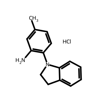 Cc1ccc(N2CCc3ccccc32)c(N)c1.Cl